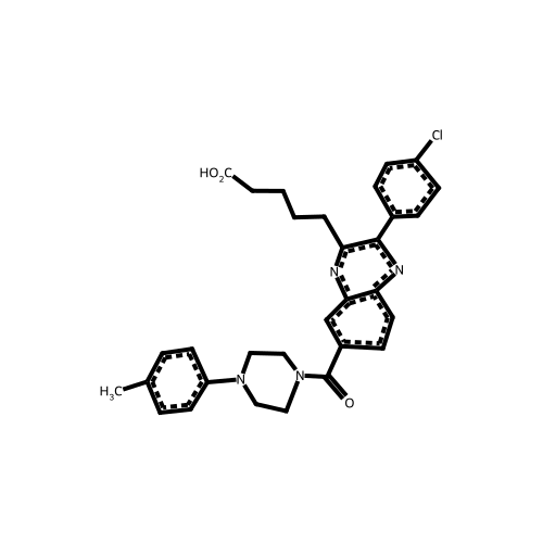 Cc1ccc(N2CCN(C(=O)c3ccc4nc(-c5ccc(Cl)cc5)c(CCCCC(=O)O)nc4c3)CC2)cc1